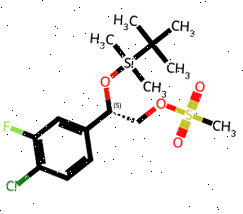 CC(C)(C)[Si](C)(C)O[C@H](COS(C)(=O)=O)c1ccc(Cl)c(F)c1